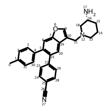 Cc1ccc(-c2cc3occ(CN4CCC[C@@H](N)C4)c3cc2-c2ccc(C#N)cc2)cc1